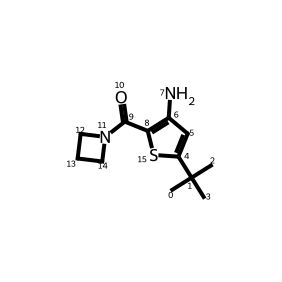 CC(C)(C)c1cc(N)c(C(=O)N2CCC2)s1